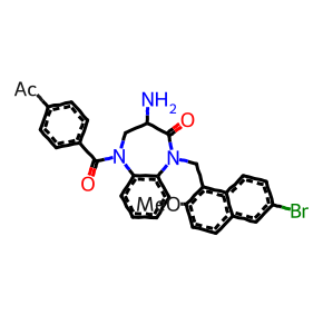 COc1ccc2cc(Br)ccc2c1CN1C(=O)C(N)CN(C(=O)c2ccc(C(C)=O)cc2)c2ccccc21